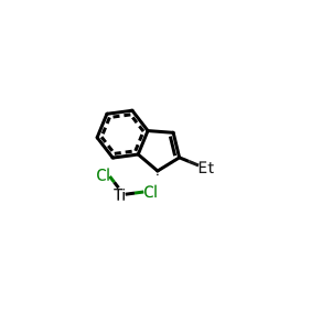 CCC1=Cc2ccccc2[CH]1.[Cl][Ti][Cl]